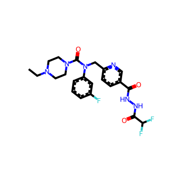 CCN1CCN(C(=O)N(Cc2ccc(C(=O)NNC(=O)C(F)F)cn2)c2cccc(F)c2)CC1